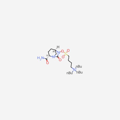 CCCC[N+](CCCC)(CCCC)CCCCS(=O)(=O)ON1C(=O)N2C[C@H]1CC[C@H]2C(N)=O